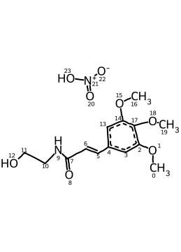 COc1cc(C=CC(=O)NCCO)cc(OC)c1OC.O=[N+]([O-])O